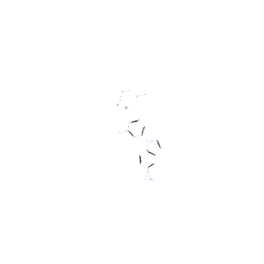 O=[N+]([O-])c1ccc2c(ccn2-c2cc(Cl)c(O[C@H]3OC(CO)[C@@H](O)C(O)[C@H]3O)c(Cl)c2)c1